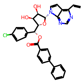 C=Cc1ncnc2c1ccn2[C@@H]1O[C@H]([C@H](OC(=O)c2ccc(-c3ccccc3)cc2)c2ccc(Cl)cc2)[C@@H](O)[C@H]1O